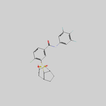 C[C@]1(O)CC2CCC(C1)[C@H]2S(=O)(=O)c1cc(C(=O)Nc2cc(F)c(F)c(F)c2)ccc1Cl